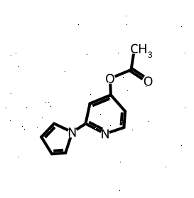 CC(=O)Oc1ccnc(-n2cccc2)c1